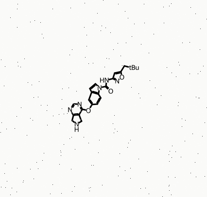 CC(C)(C)Cc1cc(NC(=O)n2ccc3cc(Oc4ncnc5c4CNC5)ccc32)no1